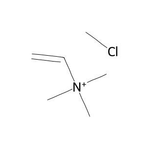 C=C[N+](C)(C)C.CCl